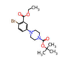 CCOC(=O)c1cc(N2CCN(C(=O)OC(C)(C)C)CC2)ccc1Br